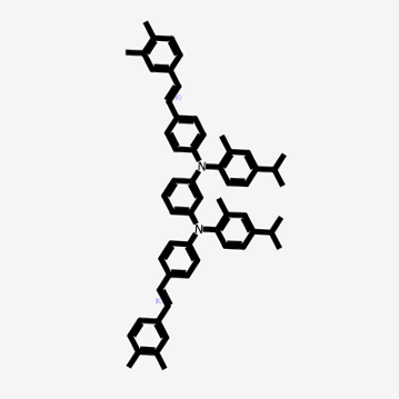 Cc1ccc(/C=C/c2ccc(N(c3cccc(N(c4ccc(/C=C/c5ccc(C)c(C)c5)cc4)c4ccc(C(C)C)cc4C)c3)c3ccc(C(C)C)cc3C)cc2)cc1C